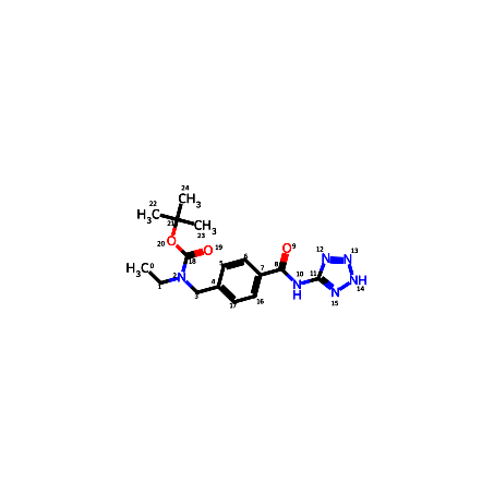 CCN(Cc1ccc(C(=O)Nc2nn[nH]n2)cc1)C(=O)OC(C)(C)C